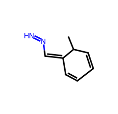 CC1C=CC=C/C1=C/N=N